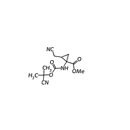 COC(=O)C1(NC(=O)OC(C)(C)C#N)CC1CC#N